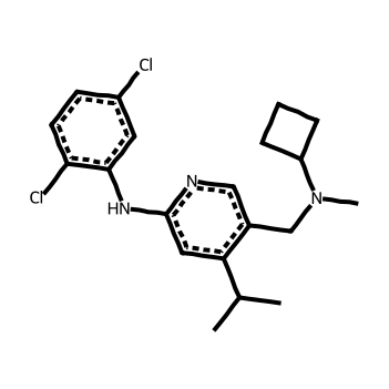 CC(C)c1cc(Nc2cc(Cl)ccc2Cl)ncc1CN(C)C1CCC1